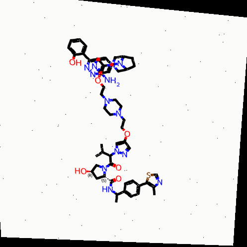 Cc1ncsc1-c1ccc(C(C)NC(=O)[C@@H]2C[C@@H](O)CN2C(=O)C(C(C)C)n2cc(OCCN3CCN(CCOc4cc(N5C6CCC5CN(c5cc(-c7ccccc7O)nnc5N)C6)ccn4)CC3)cn2)cc1